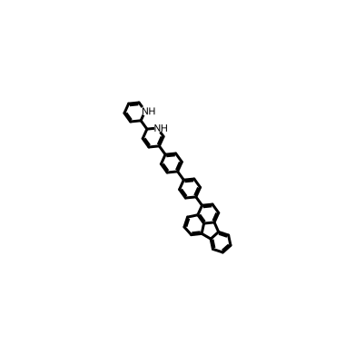 C1=CNC(C2C=CC(c3ccc(-c4ccc(-c5ccc6c7c(cccc57)-c5ccccc5-6)cc4)cc3)=CN2)C=C1